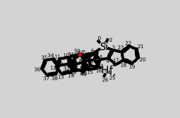 C[Si]1(C)C2=C(c3ccc(-c4ccccc4)cc3)[CH](c3ccccc32)[Hf]([CH3])([CH3])[CH]2C(c3ccc(-c4ccccc4)cc3)=C1c1ccccc12